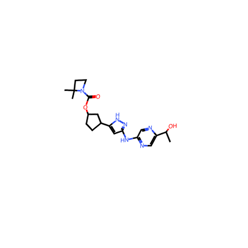 CC(O)c1cnc(Nc2cc(C3CCC(OC(=O)N4CCC4(C)C)C3)[nH]n2)cn1